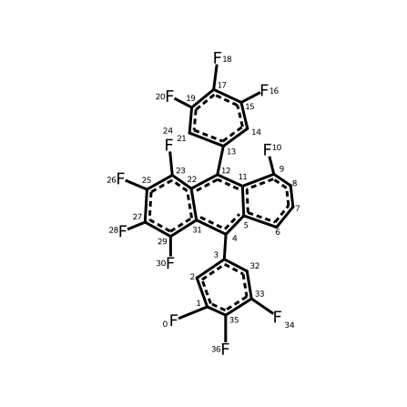 Fc1cc(-c2c3cccc(F)c3c(-c3cc(F)c(F)c(F)c3)c3c(F)c(F)c(F)c(F)c23)cc(F)c1F